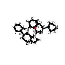 c1ccc(-n2c3ccccc3c3ccc4ccn(-c5cccc(-c6ccncc6)n5)c4c32)cc1